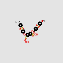 COc1ccc(S(=O)(=O)c2ccc(COc3cc4cc(Oc5ccc(S(=O)(=O)c6ccc(C)cc6)cc5)c(SOOO)cc4cc3S(=O)(=O)O)cc2)cc1